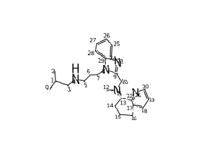 CC(C)CNCCCn1c(CN(C)[C@H]2CCCc3cccnc32)nc2ccccc21